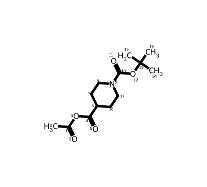 CC(=O)OC(=O)C1CCN(C(=O)OC(C)(C)C)CC1